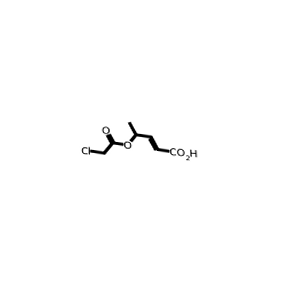 CC(/C=C/C(=O)O)OC(=O)CCl